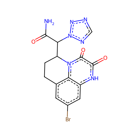 NC(=O)C(C1CCc2cc(Br)cc3[nH]c(=O)c(=O)n1c23)n1ncnn1